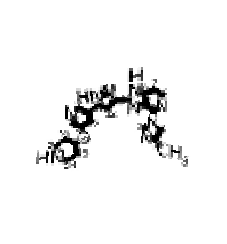 Cc1cn(-c2nccc3[nH]c(-c4cc(-c5cncc(OC6CCNCC6)c5)[nH]n4)nc23)cn1